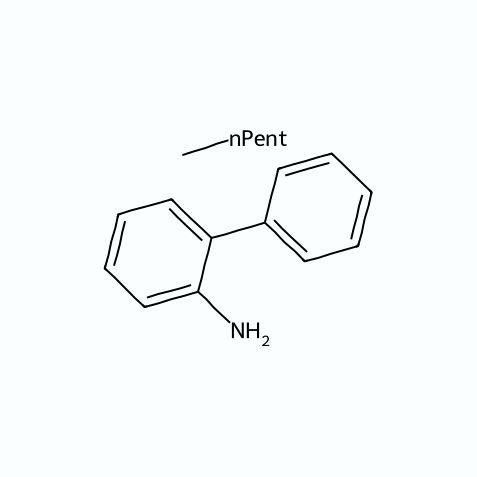 CCCCCC.Nc1ccccc1-c1ccccc1